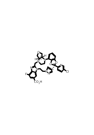 C[C@@]1(c2ccc(Cl)cn2)Oc2cccc(N3CCN(Cc4nc5c(F)cc(C(=O)O)cc5n4CCn4cccn4)[C@@H]4COC[C@@H]43)c2O1